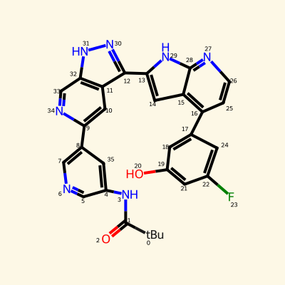 CC(C)(C)C(=O)Nc1cncc(-c2cc3c(-c4cc5c(-c6cc(O)cc(F)c6)ccnc5[nH]4)n[nH]c3cn2)c1